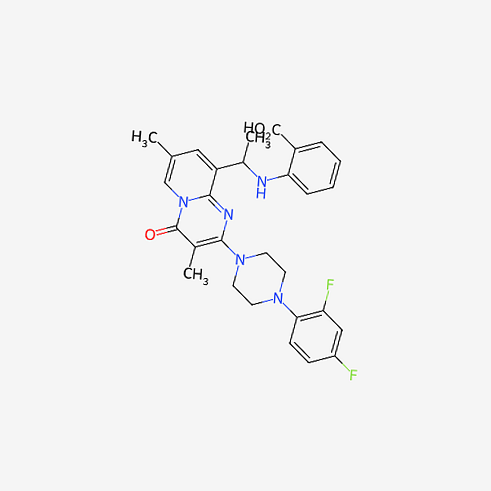 Cc1cc(C(C)Nc2ccccc2C(=O)O)c2nc(N3CCN(c4ccc(F)cc4F)CC3)c(C)c(=O)n2c1